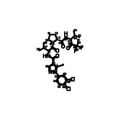 Cc1c(C(=O)N[C@H](C(=O)N2CCC[C@H]2C(=O)N[C@H](C(=O)C(F)(F)F)C(C)C)C(C)C)cnn1-c1ccc(Cl)c(Cl)c1